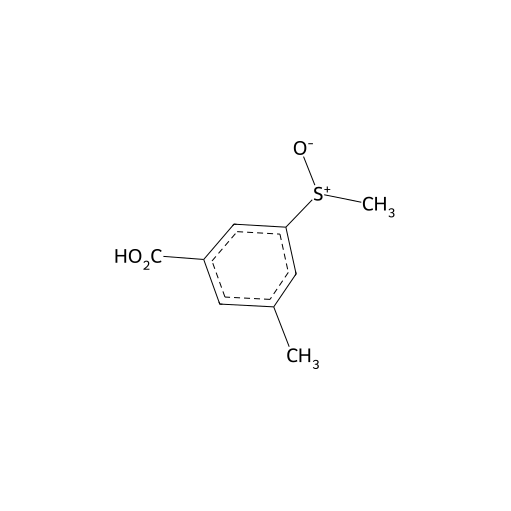 Cc1cc(C(=O)O)cc([S+](C)[O-])c1